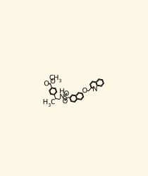 COC(=O)c1ccc(C(C)CNS(=O)(=O)c2ccc3ccc(OCc4ccc5ccccc5n4)cc3c2)cc1